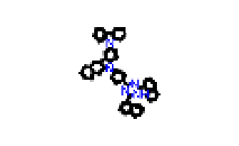 C1=CCC2CC3C(=CC2=C1)N(c1ccc(C2=NC(c4cccc5ccccc45)NC(c4cccc5ccccc45)=N2)cc1)c1ccc(-n2c4c(c5ccccc52)C=CCC4)cc13